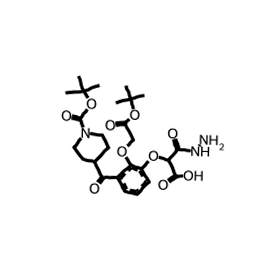 CC(C)(C)OC(=O)COc1c(OC(C(=O)O)C(=O)NN)cccc1C(=O)C1CCN(C(=O)OC(C)(C)C)CC1